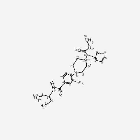 CCC(CC)NC(=O)c1ccc(N2CCN(C(C(=O)OC)c3ccccc3)CC2)c(F)c1